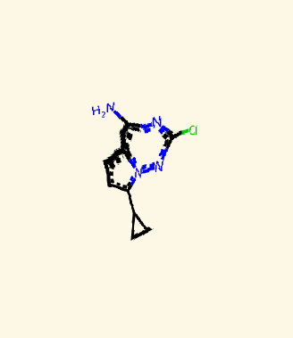 Nc1nc(Cl)nn2c(C3CC3)ccc12